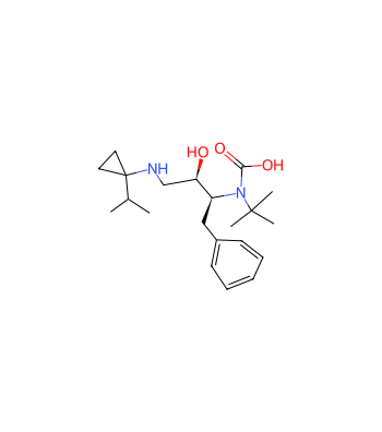 CC(C)C1(NC[C@@H](O)[C@H](Cc2ccccc2)N(C(=O)O)C(C)(C)C)CC1